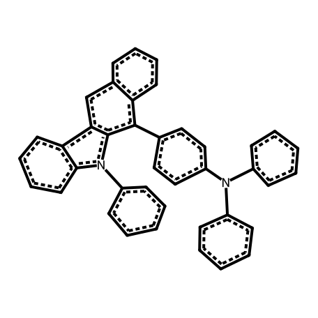 c1ccc(N(c2ccccc2)c2ccc(-c3c4ccccc4cc4c5ccccc5n(-c5ccccc5)c34)cc2)cc1